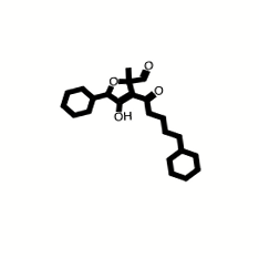 CC1(C=O)OC(C2CCCCC2)C(O)=C1C(=O)CCCCC1CCCCC1